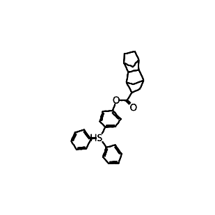 O=C(Oc1ccc([SH](c2ccccc2)c2ccccc2)cc1)C1CC2CC1C1C3CCC(C3)C21